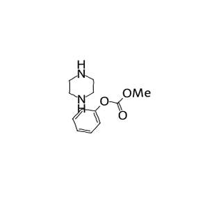 C1CNCCN1.COC(=O)Oc1ccccc1